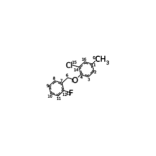 Cc1ccc(OCc2ccccc2F)c(Cl)c1